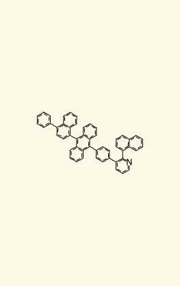 c1ccc(-c2ccc(-c3c4ccccc4c(-c4ccc(-c5cccnc5-c5cccc6ccccc56)cc4)c4ccccc34)c3ccccc23)cc1